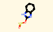 O=[SH]Oc1nc2ccccc2[nH]1